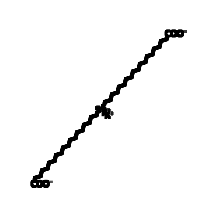 O=C([O-])CCCCCCCCCCCCCCCCCCSSCCCCCCCCCCCCCCCCCCC(=O)[O-].[K+].[K+]